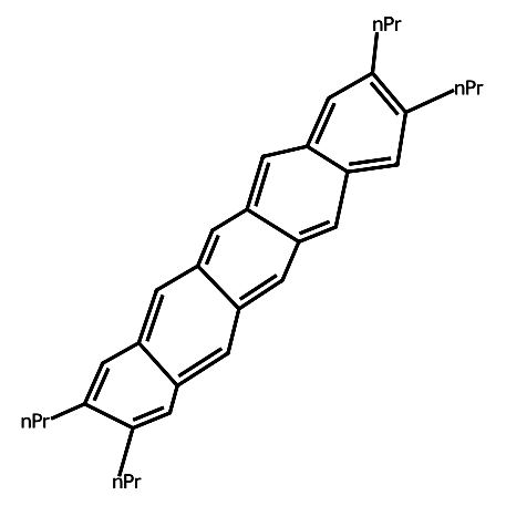 CCCc1cc2cc3cc4cc5cc(CCC)c(CCC)cc5cc4cc3cc2cc1CCC